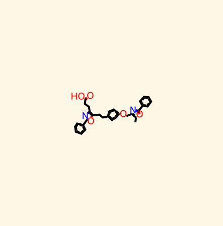 Cc1oc(-c2ccccc2)nc1COc1ccc(CCc2oc(-c3ccccc3)nc2CCC(=O)O)cc1